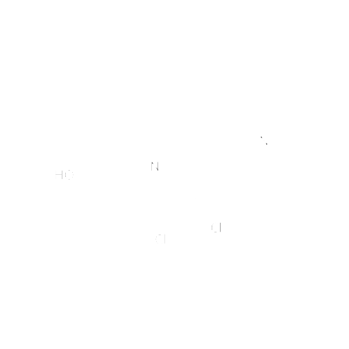 CN(C)CC=C(Cl)C(Cl)(C=CO)N(C)C